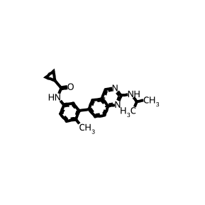 Cc1ccc(NC(=O)C2CC2)cc1-c1ccc2nc(NC(C)C)ncc2c1